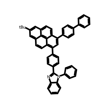 CC(C)(C)c1cc2ccc3c(-c4ccc(-c5ccccc5)cc4)cc(-c4ccc(-c5nc6ccccc6n5-c5ccccc5)cc4)c4ccc(c1)c2c34